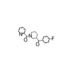 O=C(c1ccc(F)cc1)C1CCCN(C(=O)c2ccccn2)C1